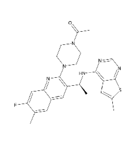 CC(=O)N1CCN(c2nc3cc(F)c(C)cc3cc2[C@H](C)Nc2ncnc3sc(C)cc23)CC1